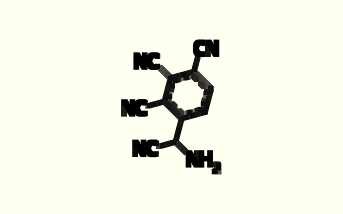 N#Cc1ccc(C(N)C#N)c(C#N)c1C#N